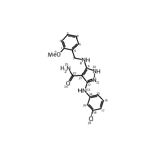 COc1ccccc1CNc1[nH]nc(Nc2cccc(Cl)c2)c1C(N)=O